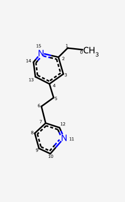 CCc1cc(CCc2cccnc2)ccn1